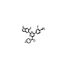 CN1CCN(C(=O)c2cc(-c3ccc(C#N)c(F)c3)nc(-c3cc4ccn(C)c4cc3F)n2)CC1